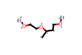 [CH2]C(CCOCC)OCCOCC